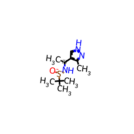 Cc1n[nH]cc1[C@H](C)N[S+]([O-])C(C)(C)C